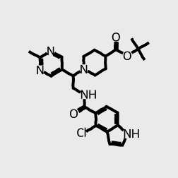 Cc1ncc(C(CNC(=O)c2ccc3[nH]ccc3c2Cl)N2CCC(C(=O)OC(C)(C)C)CC2)cn1